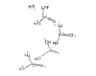 [O]=[Sn]([OH])[OH].[O]=[Sn]([OH])[OH].[O]=[Sn]([OH])[OH].[O]=[Sn]([OH])[OH].[SiH4]